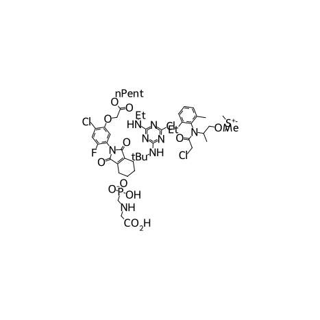 CCCCCOC(=O)COc1cc(N2C(=O)C3=C(CCCC3)C2=O)c(F)cc1Cl.CCNc1nc(Cl)nc(NC(C)(C)C)n1.CCc1cccc(C)c1N(C(=O)CCl)C(C)COC.C[S+](C)C.O=C(O)CNCP(=O)([O-])O